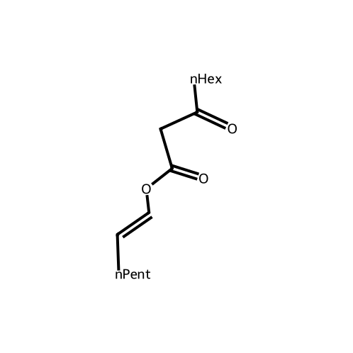 CCCCCC=COC(=O)CC(=O)CCCCCC